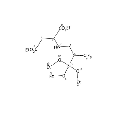 CCOC(=O)CC(NCC(C)[Si](OCC)(OCC)OCC)C(=O)OCC